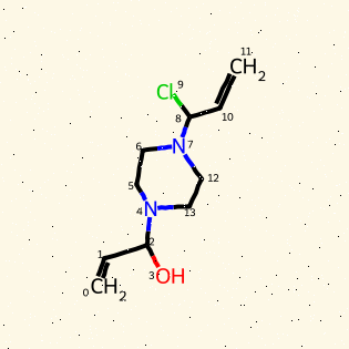 C=CC(O)N1CCN(C(Cl)C=C)CC1